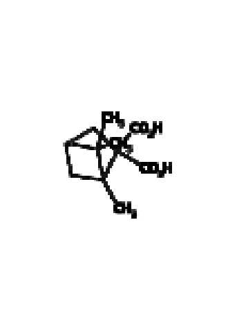 CC1(C)C2CC(C(=O)O)(C(=O)O)C1(C)C2